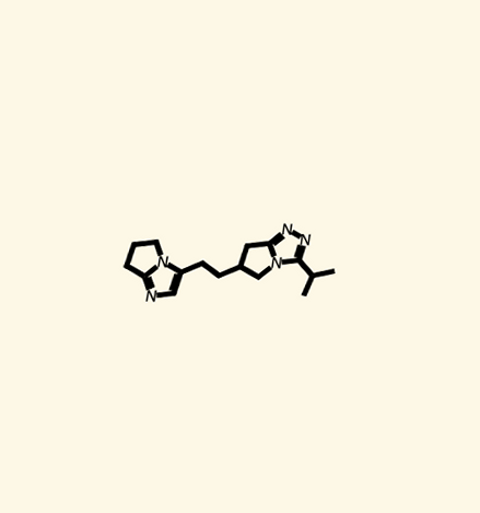 CC(C)c1nnc2n1CC(CCc1cnc3n1CCC3)C2